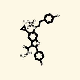 CNC(=O)c1c(-c2ccc(F)cc2)oc2cc(N(CCc3ccc(Br)cc3)S(C)(=O)=O)c(C3CC3)cc12